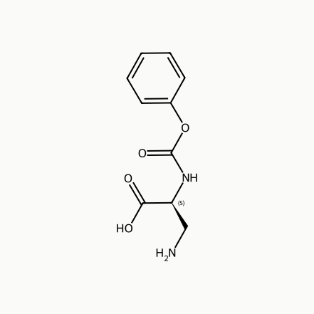 NC[C@H](NC(=O)Oc1ccccc1)C(=O)O